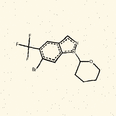 FC(F)(F)c1cc2cnn(C3CCCCO3)c2cc1Br